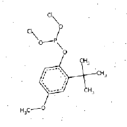 COc1ccc(OP(OCl)OCl)c(C(C)(C)C)c1